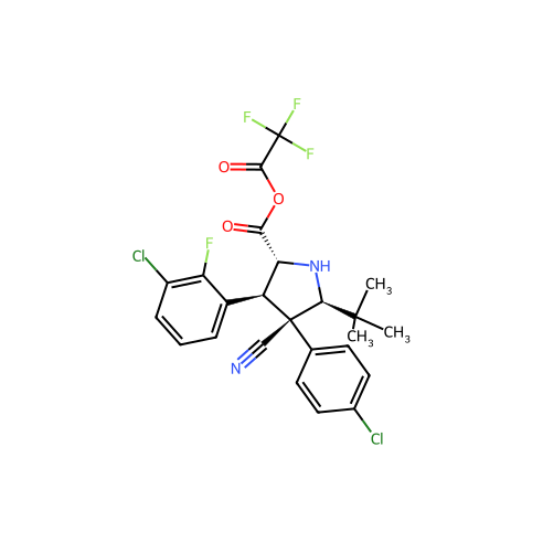 CC(C)(C)[C@@H]1N[C@@H](C(=O)OC(=O)C(F)(F)F)[C@H](c2cccc(Cl)c2F)[C@@]1(C#N)c1ccc(Cl)cc1